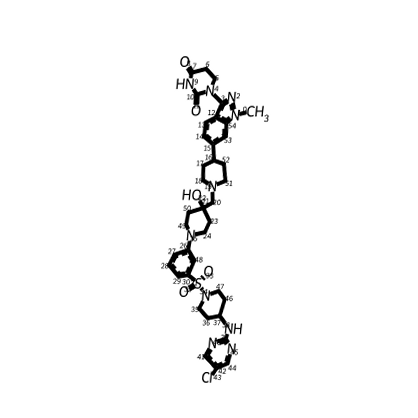 Cn1nc(N2CCC(=O)NC2=O)c2ccc(C3CCN(CC4(O)CCN(c5cccc(S(=O)(=O)N6CCC(Nc7ncc(Cl)cn7)CC6)c5)CC4)CC3)cc21